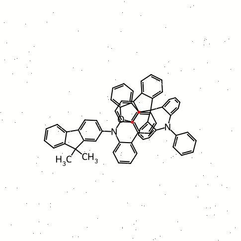 CC1(C)c2ccccc2-c2ccc(N(c3ccc4c(c3)C3(c5ccccc5-4)c4ccccc4N(c4ccccc4)c4ccccc43)c3ccccc3-c3cccc4c3oc3ccccc34)cc21